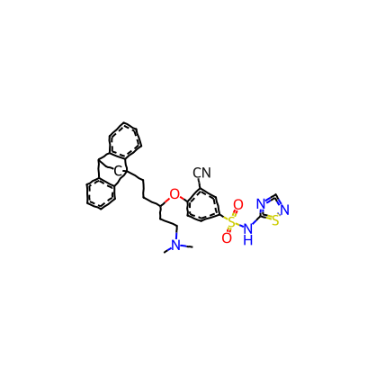 CN(C)CCC(CCC12CCC(c3ccccc31)c1ccccc12)Oc1ccc(S(=O)(=O)Nc2ncns2)cc1C#N